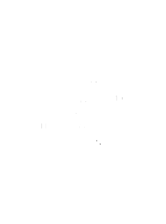 C=CC(=O)OOS(=O)(=O)CC.c1ccncc1